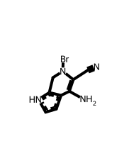 N#CC1=C(N)c2cc[nH]c2CN1Br